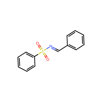 O=S(=O)(N=Cc1ccccc1)c1ccccc1